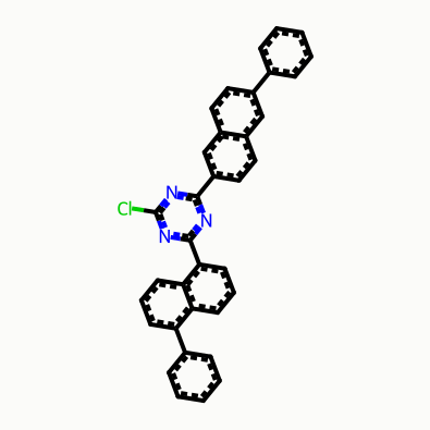 Clc1nc(-c2ccc3cc(-c4ccccc4)ccc3c2)nc(-c2cccc3c(-c4ccccc4)cccc23)n1